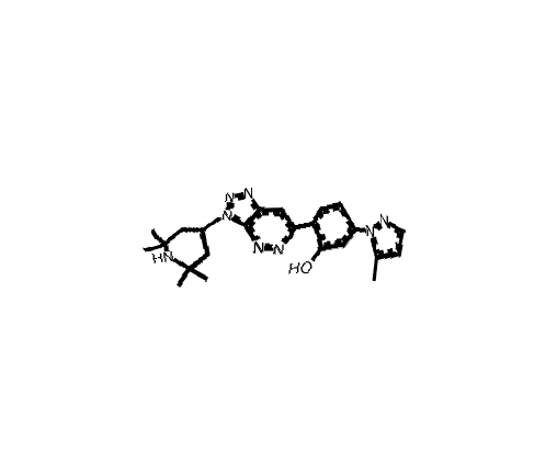 Cc1ccnn1-c1ccc(-c2cc3nnn(C4CC(C)(C)NC(C)(C)C4)c3nn2)c(O)c1